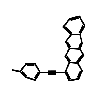 Cc1ccc(C#Cc2cccc3cc4cc5ccccc5cc4cc23)cc1